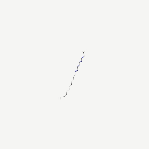 C#CCCCCCCCCC/C=C/C=C/C=C/C=C/C(=O)O